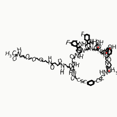 CC(=O)NCCCOCCOCCOCCCNC(=O)CCC(=O)NCCCC[C@@H]1NC(=O)CCSCc2cccc(c2)CSCCNC(=O)[C@]2(C)CCCN2C(=O)C(Cc2ccc(O)cc2)NC(=O)[C@H](Cc2cnc[nH]2)NC(=O)[C@H](CC(=O)O)NC(=O)[C@H](Cc2c[nH]c3ccc(F)cc23)NC(=O)[C@H](Cc2c[nH]c3ccc(F)cc23)NC(=O)CNC1=O